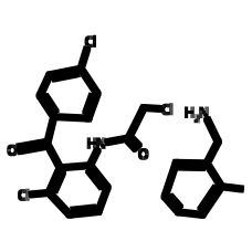 Cc1ccccc1CN.O=C(CCl)Nc1cccc(Cl)c1C(=O)c1ccc(Cl)cc1